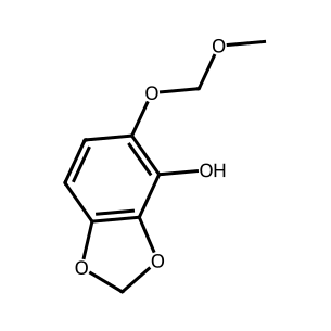 COCOc1ccc2c(c1O)OCO2